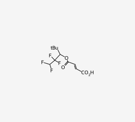 CC(C)(C)C(OC(=O)C=CC(=O)O)C(F)(F)C(F)F